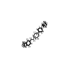 [c]1cc(-n2cnnn2)ccc1N1CCN(CCc2ccc3nonc3c2)CC1